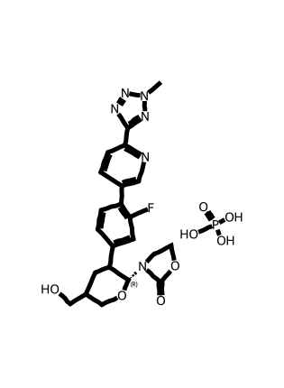 Cn1nnc(-c2ccc(-c3ccc(C4CC(CO)CO[C@H]4N4CCOC4=O)cc3F)cn2)n1.O=P(O)(O)O